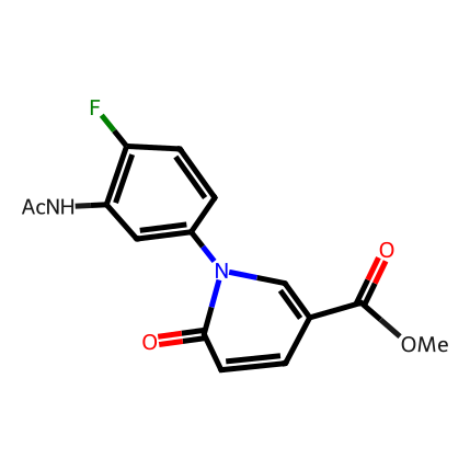 COC(=O)c1ccc(=O)n(-c2ccc(F)c(NC(C)=O)c2)c1